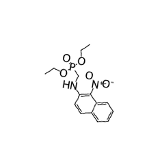 CCOP(=O)(CNc1ccc2ccccc2c1[N+](=O)[O-])OCC